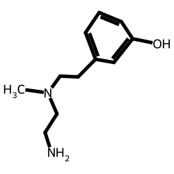 CN(CCN)CCc1cccc(O)c1